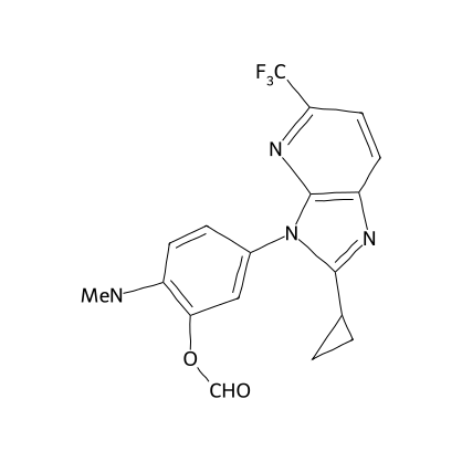 CNc1ccc(-n2c(C3CC3)nc3ccc(C(F)(F)F)nc32)cc1OC=O